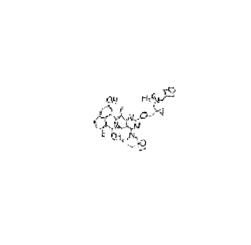 CCc1c(F)ccc2cc(O)cc(-c3ncc4c(N5CCC[C@]6(CCO6)C5)nc(OCC5(CN(C)CC6COC6)CC5)nc4c3F)c12